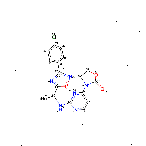 CCCCC(Nc1nccc(N2CCOC2=O)n1)c1nc(-c2ccc(Cl)cc2)no1